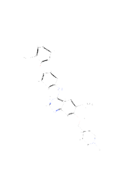 COc1cc2c(Nc3ccc(Oc4ccccc4C#N)cc3)ncnc2cc1OCC1CCN(C)CC1